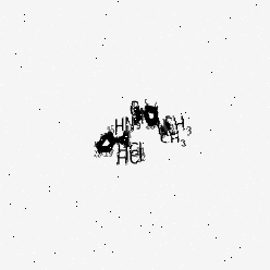 CN(C)C1CCN(C(=O)CNC2CC2c2ccccc2)C1.Cl.Cl